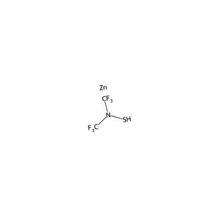 FC(F)(F)N(S)C(F)(F)F.[Zn]